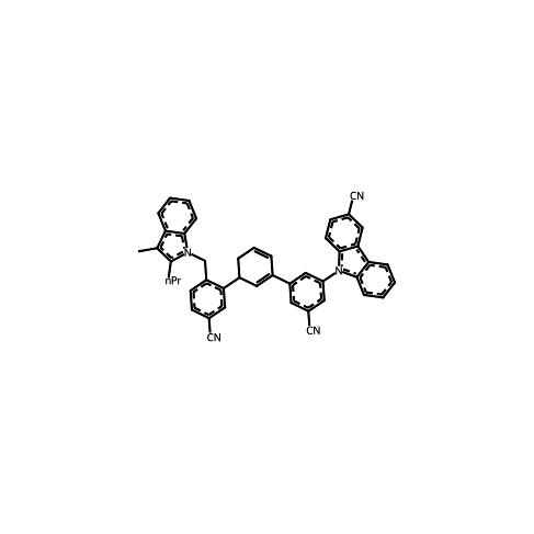 CCCc1c(C)c2ccccc2n1Cc1ccc(C#N)cc1C1C=C(c2cc(C#N)cc(-n3c4ccccc4c4cc(C#N)ccc43)c2)C=CC1